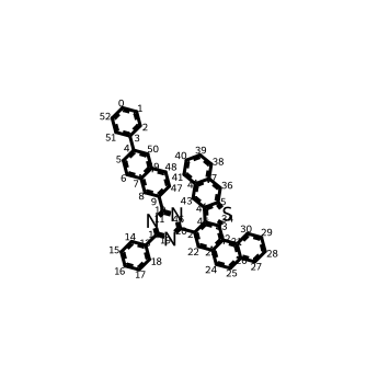 c1ccc(-c2ccc3cc(-c4nc(-c5ccccc5)nc(-c5cc6ccc7ccccc7c6c6sc7cc8ccccc8cc7c56)n4)ccc3c2)cc1